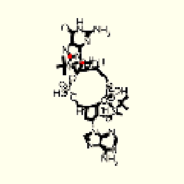 CC(C)(C)[Si](C)(C)O[C@@H]1[C@@H]2OP(=O)(O)OC[C@H]3O[C@@H](n4cnc5c(=O)[nH]c(N)nc54)[C@H](OP(=O)(O)OC[C@H]2C[C@H]1n1cnc2c(N)ncnc21)[C@@H]3O[Si](C)(C)C(C)(C)C